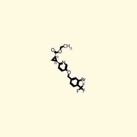 CCOC(=O)[C@H]1C[C@@H]1c1ccc(OCc2ccc(C(F)(F)F)c(Br)c2)cn1